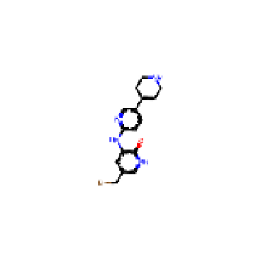 O=c1[nH]cc(CBr)cc1Nc1ccc(C2=CCNCC2)cn1